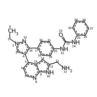 CCn1cc(-c2ccnc3[nH]c(CN)cc23)c(-c2ccc(NC(=O)Nc3ccccc3)cc2)n1